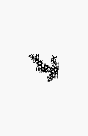 CC(C)(C)OC(=O)NCc1cccc(N/C(=C\C(=N)C(F)(F)F)C(=O)Nc2cc(C(NCC3CC3)c3ccc(NC(=O)OC(C)(C)C)cc3)ccc2F)c1